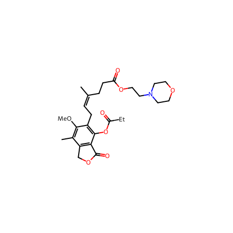 CCC(=O)Oc1c(CC=C(C)CCC(=O)OCCN2CCOCC2)c(OC)c(C)c2c1C(=O)OC2